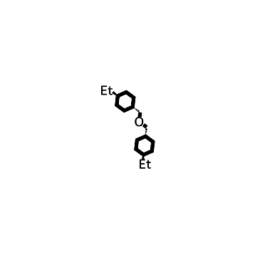 CC[C@H]1CC[C@H](COC[C@H]2CC[C@H](CC)CC2)CC1